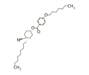 CCCCCCCCC[C@]1(C#N)CC[C@H](OC(=O)c2ccc(OCCCCCCC)cc2)CC1